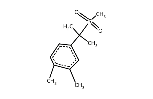 Cc1ccc(C(C)(C)S(C)(=O)=O)cc1C